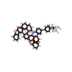 CC(C)(C)c1ccc(-c2ccc(N(c3ccc4sc5ccccc5c4c3)c3ccc4ccccc4c3-c3ccccc3-c3cccc4oc5ccccc5c34)c(-c3ccccc3)c2)cc1